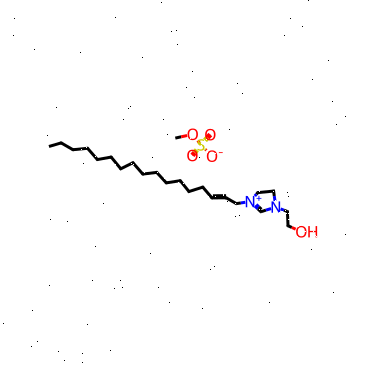 CCCCCCCCCCCCCCC=CC[N+]1=CN(CCO)CC1.COS(=O)(=O)[O-]